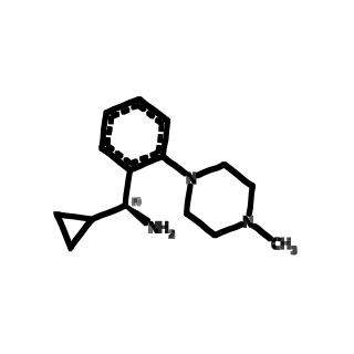 CN1CCN(c2ccccc2[C@@H](N)C2CC2)CC1